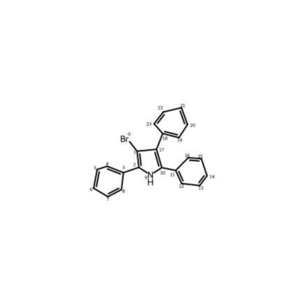 Brc1c(-c2ccccc2)[nH]c(-c2ccccc2)c1-c1ccccc1